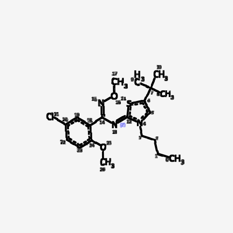 CCCCn1cc(C(C)(C)C)s/c1=N\C(=NOC)c1cc(Cl)ccc1OC